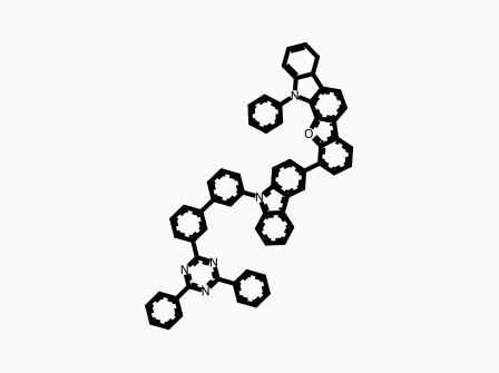 C1=CCC2C(=C1)N(c1ccccc1)c1c2ccc2c1oc1c(-c3ccc4c(c3)c3ccccc3n4-c3cccc(-c4cccc(-c5nc(-c6ccccc6)nc(-c6ccccc6)n5)c4)c3)cccc12